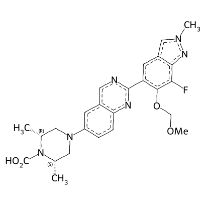 COCOc1c(-c2ncc3cc(N4C[C@@H](C)N(C(=O)O)[C@@H](C)C4)ccc3n2)cc2cn(C)nc2c1F